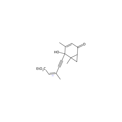 CCOC(=O)/C=C(/C)C#CC1(O)C(C)=CC(=O)C2CC21C